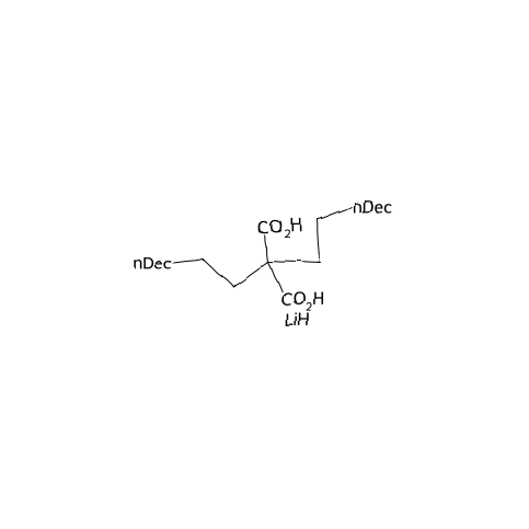 CCCCCCCCCCCCC(CCCCCCCCCCCC)(C(=O)O)C(=O)O.[LiH]